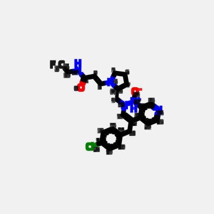 O=C(CCN1CCC[C@@H]1CN1C=C(Cc2ccc(Cl)cc2)c2ccncc2[NH+]1[O-])NCC(F)(F)F